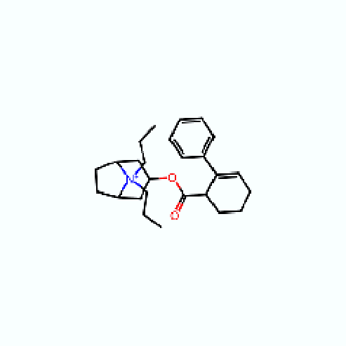 CCC[N+]1(CCC)C2CCC1CC(OC(=O)C1CCCC=C1c1ccccc1)C2